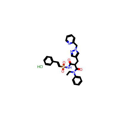 CCN(C(=O)C(Cc1cnn(Cc2ccccn2)c1)C(=O)NS(=O)(=O)/C=C/c1ccccc1)c1ccccc1.Cl